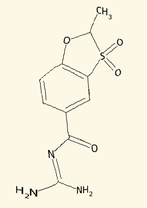 CC1Oc2ccc(C(=O)N=C(N)N)cc2S1(=O)=O